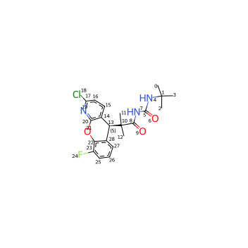 CC(C)(C)NC(=O)NC(=O)C(C)(C)[C@@H]1c2ccc(Cl)nc2Oc2c(F)cccc21